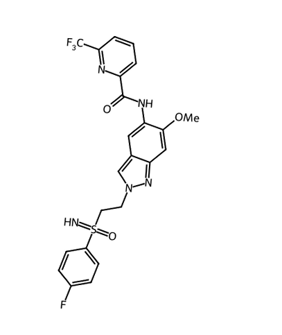 COc1cc2nn(CCS(=N)(=O)c3ccc(F)cc3)cc2cc1NC(=O)c1cccc(C(F)(F)F)n1